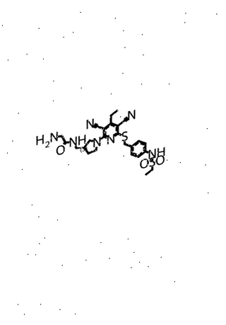 CCc1c(C#N)c(SCc2ccc(NS(=O)(=O)CC)cc2)nc(N2CC[C@@H](CNC(=O)CN)C2)c1C#N